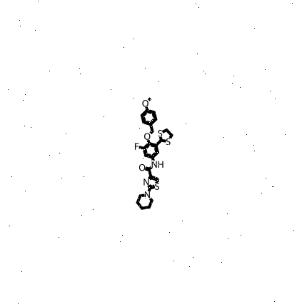 COc1ccc(COc2c(F)cc(NC(=O)c3csc(N4CCCCC4)n3)cc2C2SCCS2)cc1